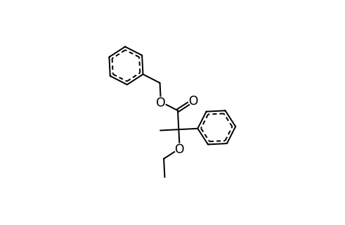 CCOC(C)(C(=O)OCc1ccccc1)c1ccccc1